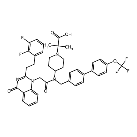 CC(C)(C(=O)O)N1CCC(N(Cc2ccc(-c3ccc(OC(F)(F)F)cc3)cc2)C(=O)Cn2c(CCc3cccc(F)c3F)nc(=O)c3ccccc32)CC1